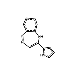 C1=NC=C(c2ccc[nH]2)Nc2ccccc21